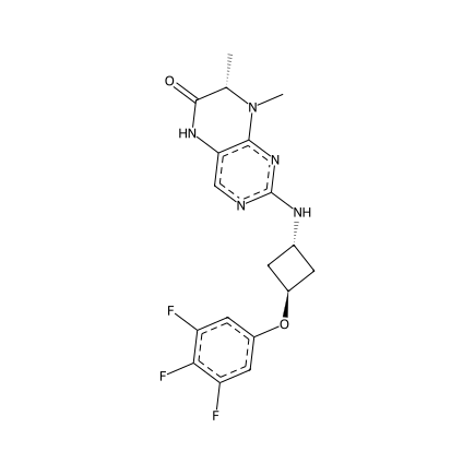 C[C@H]1C(=O)Nc2cnc(N[C@H]3C[C@H](Oc4cc(F)c(F)c(F)c4)C3)nc2N1C